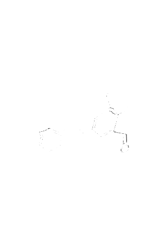 O=Cc1cc(OCc2ccccc2)cc(F)c1F